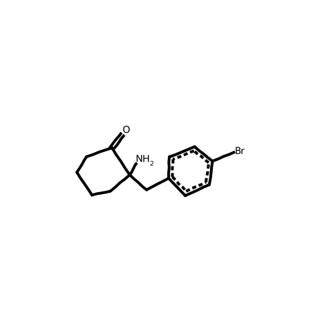 NC1(Cc2ccc(Br)cc2)CCCCC1=O